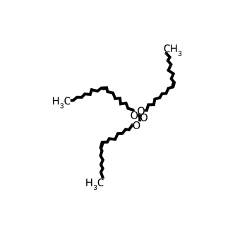 CCCCCCCC/C=C\CCCCCCCCOC1OC1(OCCCCCCCC/C=C\CCCCCCCC)OCCCCCCCC/C=C\CCCCCCCC